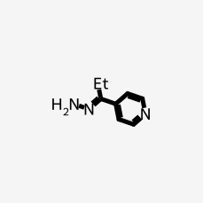 CCC(=NN)c1ccncc1